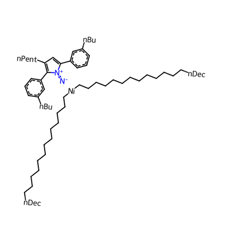 CCCCCC1=C(c2cccc(CCCC)c2)[N+](=[N-])C(c2cccc(CCCC)c2)=C1.CCCCCCCCCCCCCCCCCCCCCC[CH2][Ni][CH2]CCCCCCCCCCCCCCCCCCCCCC